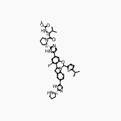 COC(=O)N[C@H](C(=O)N1CCC[C@H]1c1ncc(-c2cc(F)c3c(c2)OC(c2ccc(C(C)C)s2)n2c-3cc3cc(-c4cnc([C@@H]5CCCN5)[nH]4)ccc32)[nH]1)C(C)C